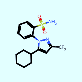 NS(=O)(=O)c1ccccc1-n1nc(C(F)(F)F)cc1C1CCCCC1